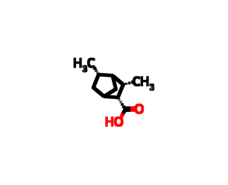 C[C@H]1CC2CC1[C@H](C)[C@@H]2C(=O)O